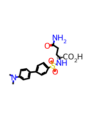 CN(C)c1ccc(-c2ccc(S(=O)(=O)N[C@@H](CCC(N)=O)C(=O)O)cc2)cc1